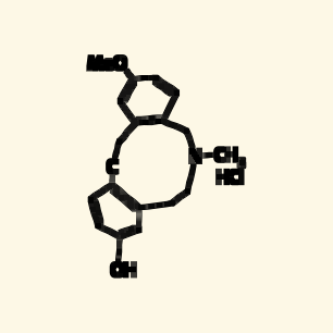 COc1ccc2c(c1)CCc1ccc(O)cc1CCN(C)C2.Cl